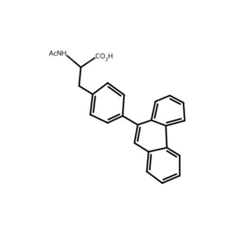 CC(=O)NC(Cc1ccc(-c2cc3ccccc3c3ccccc23)cc1)C(=O)O